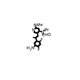 CNc1cc(N(C=O)C(C)C)c(/C=C(\C)c2cc(N)c(F)cc2F)cn1